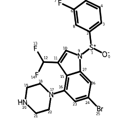 [O-][S+](c1cccc(F)c1)n1cc(C(F)F)c2c(N3CCNCC3)cc(Br)cc21